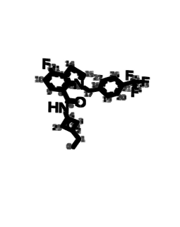 CCC12CC(NC(=O)c3ccc(F)c4ccn(Cc5ccc(C(F)(F)F)cc5)c34)(C1)C2